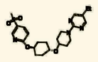 CCc1cnc(N2CCC(O[C@H]3CC[C@H](Oc4ccc(S(C)(=O)=O)cn4)CC3)CC2)nc1